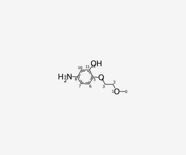 COCCOc1ccc(N)cc1O